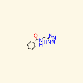 O=C(NCc1nnn[nH]1)c1ccccc1